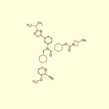 COc1ccc([C@H]2CC[C@H](CN(c3cccc(-c4coc(C(C)C)n4)c3)C(=O)[C@H]3CC[C@H](OC(=O)N4CC(O)C4)CC3)CC2)nc1C#N